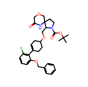 CC(C)(C)OC(=O)N1CCC2(COCC(=O)N2)C1COC1CC=C(c2c(F)cccc2OCc2ccccc2)CC1